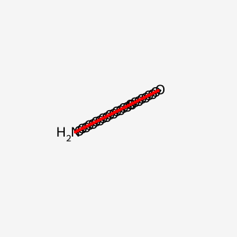 NCCOCCOCCOCCOCCOCCOCCOCCOCCOCCOCCOCCOCCOCCOCCOCCOOCCOCCOCCOCCOCCOCCOCCOCCC=O